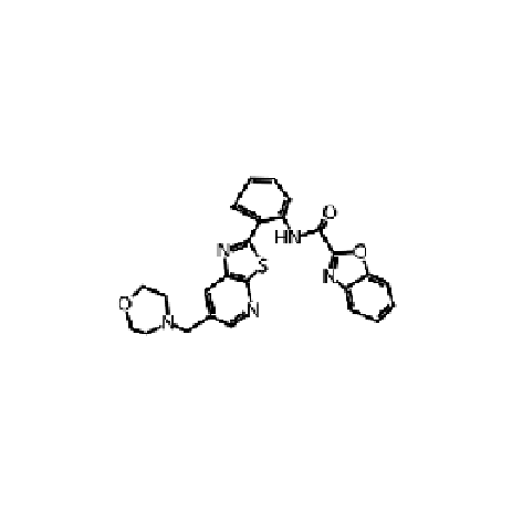 O=C(Nc1ccccc1-c1nc2cc(CN3CCOCC3)cnc2s1)c1nc2ccccc2o1